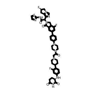 O=C1CC[C@H](Nc2ccc(C3CCN(CC(=O)N4CCN(c5ccc(-c6cc(F)c7c(c6)C(=O)N(C(C(=O)Nc6nccs6)c6ncn8c6C[C@@H](F)C8)C7)cc5)CC4)CC3)c(F)c2)C(=O)N1